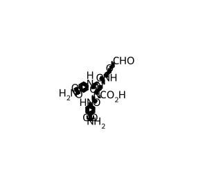 NS(=O)(=O)c1ccc(NC(=O)CN(CCN(CC(=O)NCCOCCC=O)CC(=O)Nc2ccc(S(N)(=O)=O)cc2)CC(=O)O)cc1